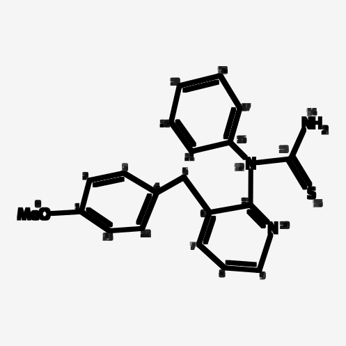 COc1ccc(Cc2cccnc2N(C(N)=S)c2ccccc2)cc1